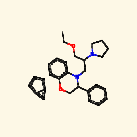 CCOCC(CN1c2ccccc2OCC1c1ccccc1)N1CCCC1.c1cc2cc-2c1